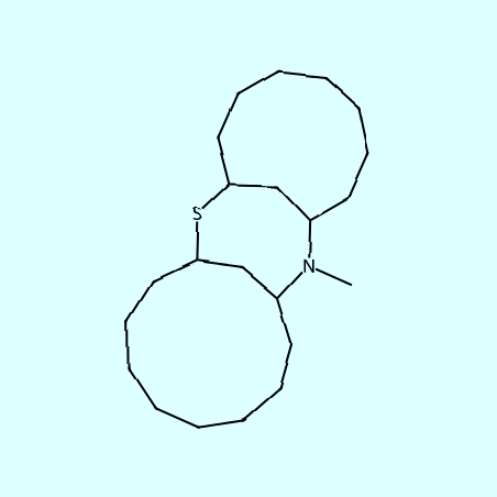 CN1C2CCCCCCCCC(C2)SC2CCCCCCCC1C2